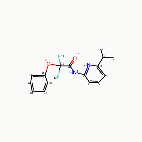 CC(C)c1cccc(NC(=O)C(F)(F)Oc2ccccc2)n1